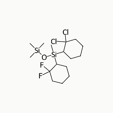 C[Si](C)(C)O[Si](C)(C1CCCCC1(F)F)C1CCCCC1(Cl)Cl